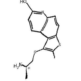 Cc1sc2ccc3nc(O)ccc3c2c1OC[C@@H](C)N